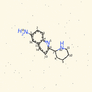 Nc1ccc2nc(C3CCCCN3)ccc2c1